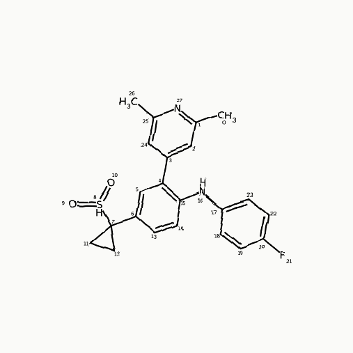 Cc1cc(-c2cc(C3([SH](=O)=O)CC3)ccc2Nc2ccc(F)cc2)cc(C)n1